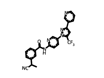 CC(C#N)c1cccc(C(=O)Nc2ccc(-n3nc(-c4cccnc4)cc3C(F)(F)F)cn2)c1